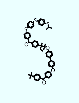 CCC(C)(c1ccc(C(=O)c2ccc(Sc3ccc(Sc4ccc(SC(C)C)cc4)cc3)cc2)cc1)C(C)(C)Oc1ccc(-c2ccc(Oc3ccc(C(=O)c4ccc(C(C)(C)C)cc4)cc3)cc2)cc1